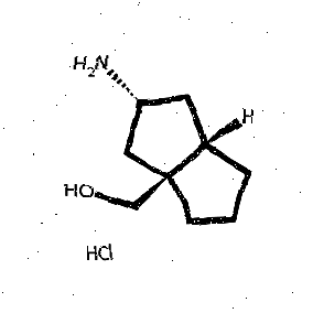 Cl.N[C@@H]1C[C@@H]2CCC[C@]2(CO)C1